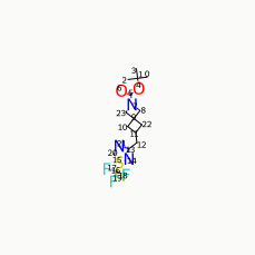 CC(C)(C)OC(=O)N1CC2(CC(CC3=N[SH](C(F)(F)F)C=N3)C2)C1